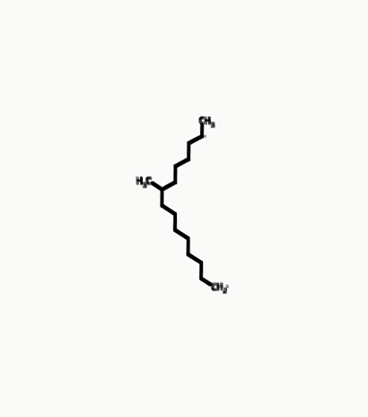 [CH2]CCCCCCCC(C)CCCC[CH]C